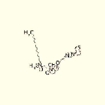 CCCCCCCCCCCCCCN(C)C(=O)CCC(C)n1c(=O)ccc2ccc(OCCCCN3CCN(c4cccc5sccc45)CC3)cc21